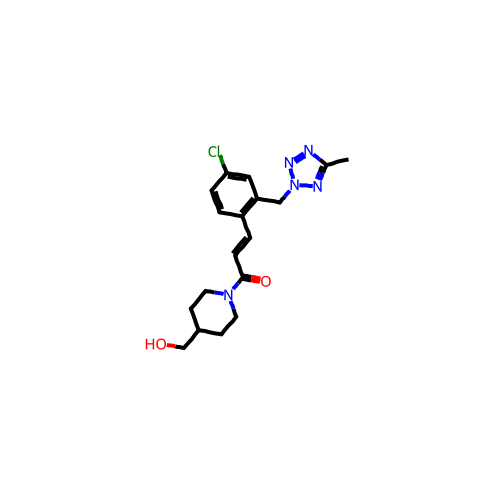 Cc1nnn(Cc2cc(Cl)ccc2/C=C/C(=O)N2CCC(CO)CC2)n1